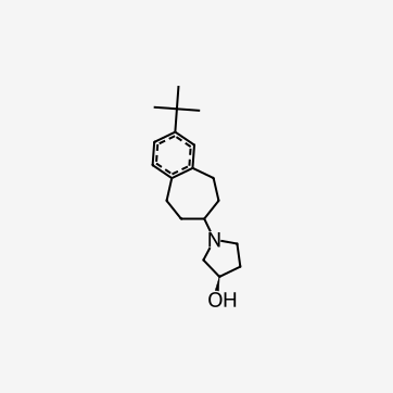 CC(C)(C)c1ccc2c(c1)CCC(N1CC[C@@H](O)C1)CC2